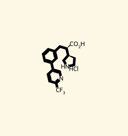 Cl.O=C(O)[C@@H](Cc1cccc(-c2ccc(C(F)(F)F)nc2)c1)[C@H]1CCNC1